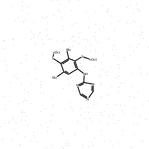 CCCCCCCCSc1c(Nc2ncncn2)cc(C(C)(C)C)c(SCCCCCCCC)c1C(C)(C)C